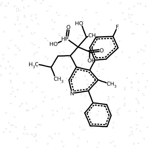 Cc1c(-c2ccccc2)ncc(C(CC(C)C)C(C(=O)O)(C(C)O)[PH](=O)O)c1-c1ccc(F)cc1